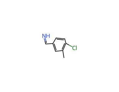 Cc1cc(C=N)ccc1Cl